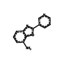 Nc1cccc2nc(-c3cccnc3)oc12